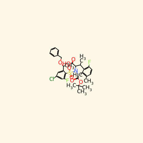 Cc1ccc(F)c(C(C)C(C(=O)O)N(CC(=O)OC(C)(C)C)S(=O)(=O)c2c(F)cc(Cl)cc2C(C)OCc2ccccc2)c1C